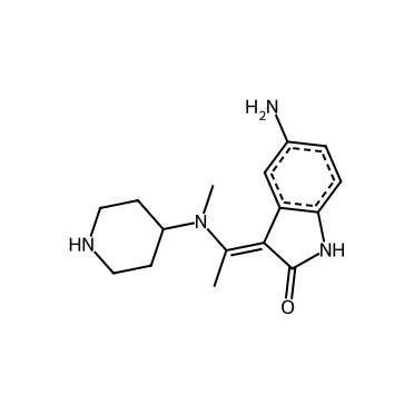 CC(=C1C(=O)Nc2ccc(N)cc21)N(C)C1CCNCC1